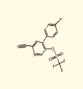 N#Cc1cc(-c2ccc(F)cc2)c(OS(=O)(=O)C(F)(F)F)cn1